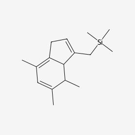 CC1=CC(C)=C2CC=C(C[Si](C)(C)C)C2C1C